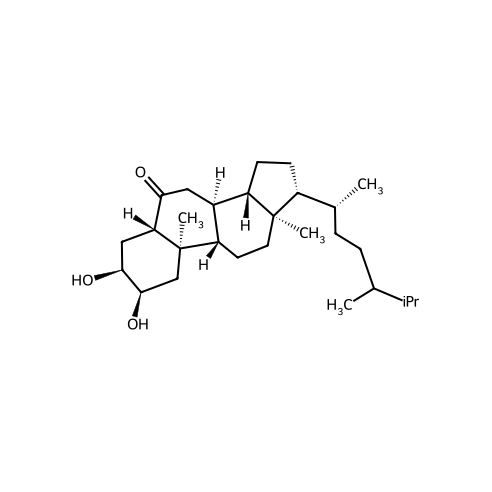 CC(C)C(C)CC[C@@H](C)[C@H]1CC[C@H]2[C@@H]3CC(=O)[C@H]4C[C@H](O)[C@H](O)C[C@]4(C)[C@H]3CC[C@]12C